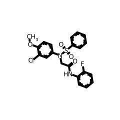 COc1ccc(N(CC(=O)Nc2ccccc2F)S(=O)(=O)c2ccccc2)cc1Cl